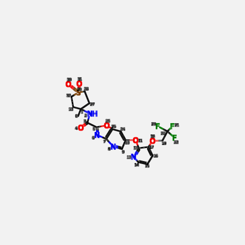 CC1(NC(=O)c2nc3ncc(Oc4ncccc4OCC(F)(F)F)cc3o2)CCS(=O)(=O)CC1